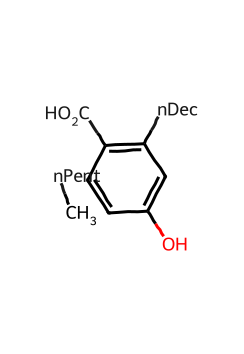 CCCCCC.CCCCCCCCCCc1cc(O)ccc1C(=O)O